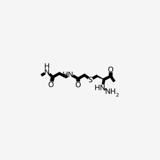 CNC(=O)CCNC(=O)CSC[C@H](NN)C(C)=O